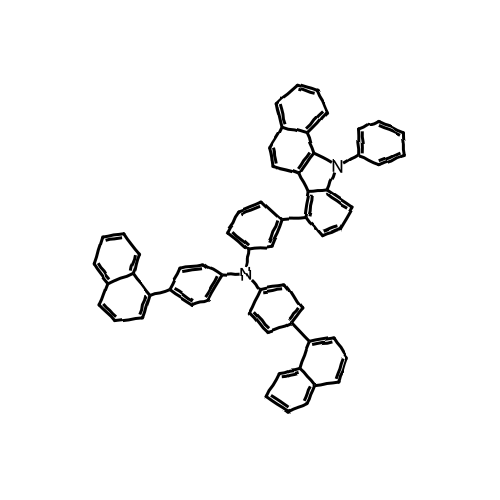 c1ccc(-n2c3cccc(-c4cccc(N(c5ccc(-c6cccc7ccccc67)cc5)c5ccc(-c6cccc7ccccc67)cc5)c4)c3c3ccc4ccccc4c32)cc1